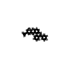 Fc1ccc(N=C(c2ccccc2)c2ccccc2)cc1SC1=NC(C2CC2)COC1